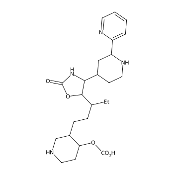 CCC(CCC1CNCCC1OC(=O)O)C1OC(=O)NC1C1CCNC(c2ccccn2)C1